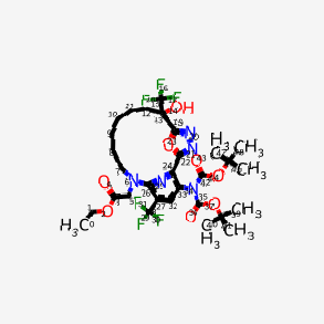 CCOC(=O)CN1CCCCCCC(O)(C(F)(F)F)c2nnc(o2)-c2nc1c(C(F)(F)F)cc2N(C(=O)OC(C)(C)C)C(=O)OC(C)(C)C